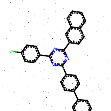 Clc1ccc(-c2nc(-c3ccc(-c4ccccc4)cc3)nc(-c3ccc4ccccc4c3)n2)cc1